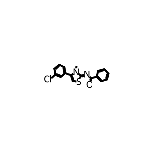 Cn1c(-c2cccc(Cl)c2)cs/c1=N\C(=O)c1ccccc1